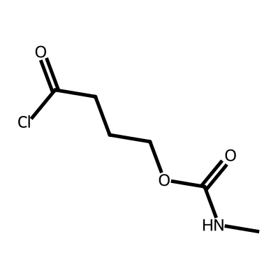 CNC(=O)OCCCC(=O)Cl